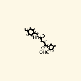 Cc1ccc(CNC(=O)CCC(=O)N2CCC[C@H]2C=O)cc1